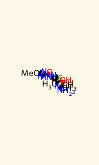 COc1cnc(C(=O)Nc2cc([C@@]3(C)CS(O)(O)C(C)(C)C(N)=N3)c(F)cn2)cn1